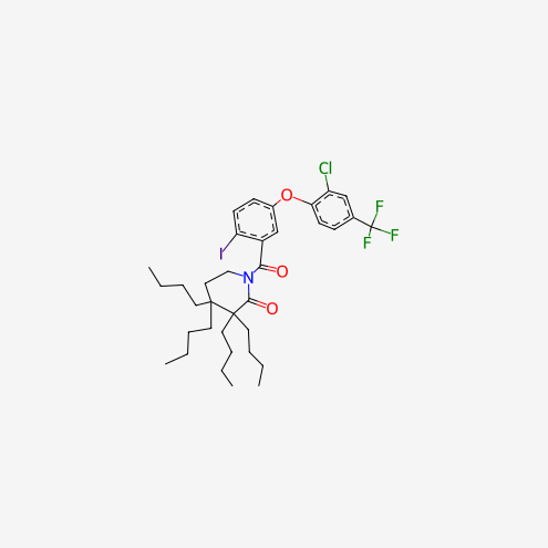 CCCCC1(CCCC)CCN(C(=O)c2cc(Oc3ccc(C(F)(F)F)cc3Cl)ccc2I)C(=O)C1(CCCC)CCCC